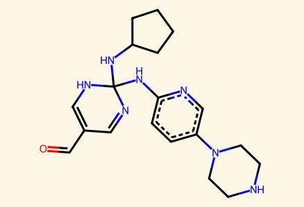 O=CC1=CNC(Nc2ccc(N3CCNCC3)cn2)(NC2CCCC2)N=C1